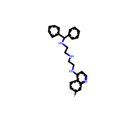 Ic1ccc2c(NCCNCCNC(c3ccccc3)c3ccccc3)ccnc2c1